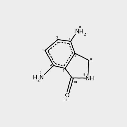 Nc1ccc(N)c2c1CNC2=O